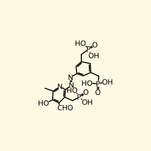 Cc1nc(/N=N/c2cc(CP(=O)(O)O)cc(CP(=O)(O)O)c2)c(CP(=O)(O)O)c(C=O)c1O